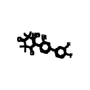 CCc1cc(-c2ccc(F)c(F)c2)ccc1C1=C(O)C(C)(C)C(=O)C(C)(C)C1=O